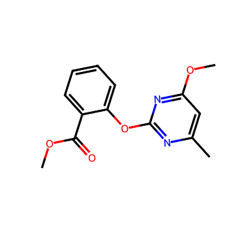 COC(=O)c1ccccc1Oc1nc(C)cc(OC)n1